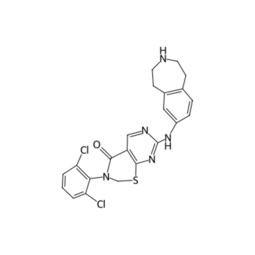 O=C1c2cnc(Nc3ccc4c(c3)CCNCC4)nc2SCN1c1c(Cl)cccc1Cl